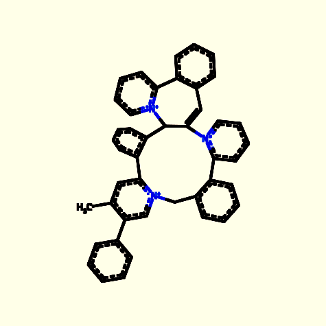 Cc1cc2[n+](cc1-c1ccccc1)Cc1ccccc1-c1cccc[n+]1C1=Cc3ccccc3-c3cccc[n+]3C1c1ccccc1-2